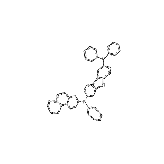 c1ccc(N(c2ccc3c(ccc4ccccc43)c2)c2ccc3c(c2)oc2ccc(N(c4ccccc4)c4ccccc4)cc23)cc1